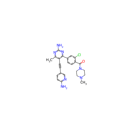 Cc1nc(N)nc(-c2ccc(C(=O)N3CCN(C)CC3)c(Cl)c2)c1C#Cc1ccc(N)nc1